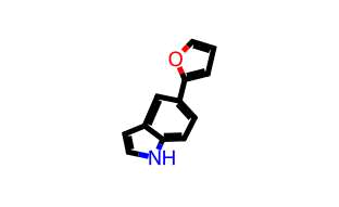 c1coc(-c2ccc3[nH]ccc3c2)c1